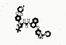 CN1CCC[C@@H](Oc2cc(-n3nc(C(C)(C)C)cc3NC(=O)N[C@H]3CC[C@@H](Oc4ccc5nnc(N6CCCCC6)n5c4)c4ccccc43)ccc2Cl)C1